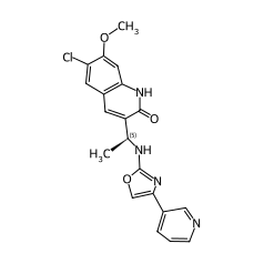 COc1cc2[nH]c(=O)c([C@H](C)Nc3nc(-c4cccnc4)co3)cc2cc1Cl